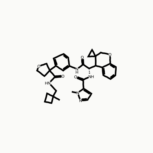 Cn1nccc1C(=O)N[C@H](C(=O)Nc1cccc(C2(C(=O)NCC3(C)CCC3)CCOC2)c1)C1c2ccccc2OCC12CC2